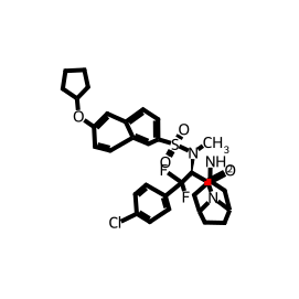 CN([C@@H](C(=O)N1C2CCC1CC(N)C2)C(F)(F)c1ccc(Cl)cc1)S(=O)(=O)c1ccc2cc(OC3CCCC3)ccc2c1